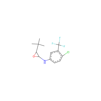 CC(C)(C)C1OC1Nc1ccc(Cl)c(C(F)(F)F)c1